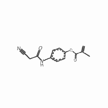 C=C(C)C(=O)Oc1ccc(NC(=O)CC#N)cc1